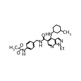 CCn1ncc2c(NC3CCCC(C)C3)c(C(=O)NCc3ccc(NS(C)(=O)=O)cc3)cnc21